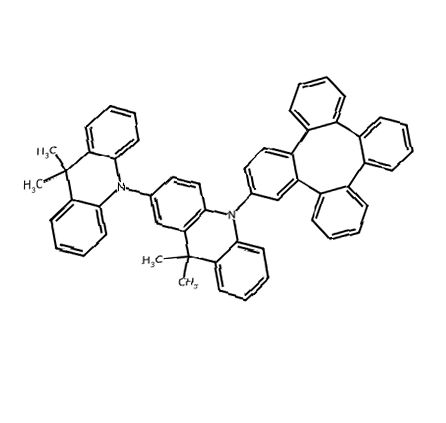 CC1(C)c2ccccc2N(c2ccc3c(c2)C(C)(C)c2ccccc2N3c2ccc3c(c2)-c2ccccc2-c2ccccc2-c2ccccc2-3)c2ccccc21